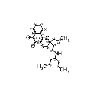 CCCC(CCC)NCCC1(CCC)CSC2=C(O1)c1ccccc1C(=O)C2=O